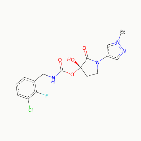 CCn1cc(N2CC[C@](O)(OC(=O)NCc3cccc(Cl)c3F)C2=O)cn1